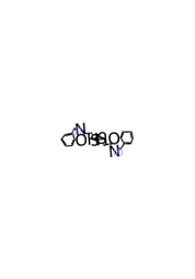 Oc1ccccc1/C=N\CCSSCC/N=C\c1ccccc1O